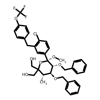 CO[C@@]1(c2ccc(Cl)c(Cc3ccc(OC(F)(F)F)cc3)c2)OC(CO)(CO)[C@@H](C)[C@H](OCc2ccccc2)[C@H]1OCc1ccccc1